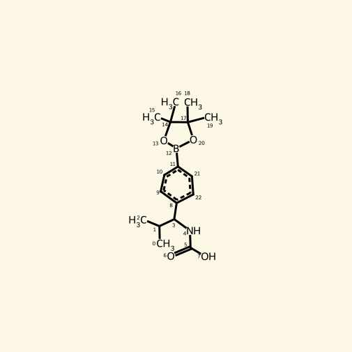 CC(C)C(NC(=O)O)c1ccc(B2OC(C)(C)C(C)(C)O2)cc1